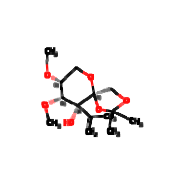 C=C(C)[C@@]1(O)[C@H](OC)[C@H](OC)CO[C@]12COC(C)(C)O2